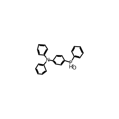 O=[PH](c1ccccc1)c1ccc(N(c2ccccc2)c2ccccc2)cc1